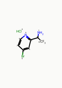 Cl.NC(c1cc(Br)ccn1)C(F)(F)F